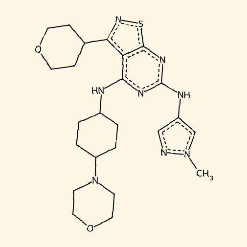 Cn1cc(Nc2nc(NC3CCC(N4CCOCC4)CC3)c3c(C4CCOCC4)nsc3n2)cn1